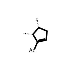 CC(=O)C1=CC[C@@H](C)[C@H]1C